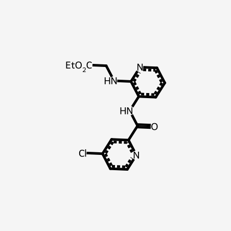 CCOC(=O)CNc1ncccc1NC(=O)c1cc(Cl)ccn1